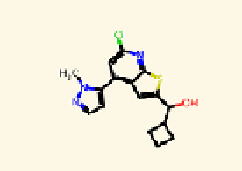 Cn1nccc1-c1cc(Cl)nc2sc(C(O)C3CCC3)cc12